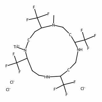 CN1CCC(C(F)(F)F)NCCC(C(F)(F)F)NCCC(C(F)(F)F)[N]([Ti+3])CCC1C(F)(F)F.[Cl-].[Cl-].[Cl-]